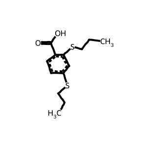 CCCSc1ccc(C(=O)O)c(SCCC)c1